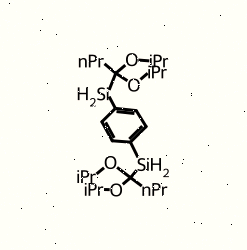 CCCC(OC(C)C)(OC(C)C)[SiH2]c1ccc([SiH2]C(CCC)(OC(C)C)OC(C)C)cc1